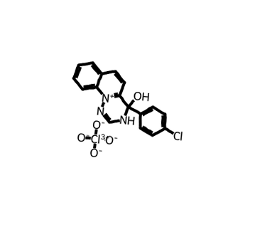 OC1(c2ccc(Cl)cc2)NC=N[n+]2c1ccc1ccccc12.[O-][Cl+3]([O-])([O-])[O-]